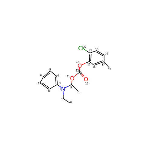 CCN(c1ccccc1)C(C)OC(=O)Oc1cc(C)ccc1Cl